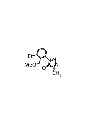 CCc1cccc(-n2nnn(C)c2=O)c1COC